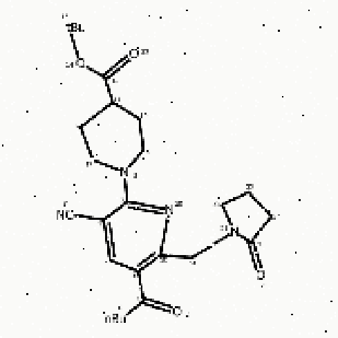 CCCCC(=O)c1cc(C#N)c(N2CCC(C(=O)OC(C)(C)C)CC2)nc1CN1CCCC1=O